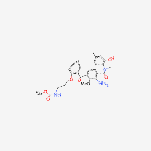 COc1c(C(=O)c2ccccc2OCCCNC(=O)OC(C)(C)C)ccc(C(=O)N(C)c2ccc(C)cc2O)c1N